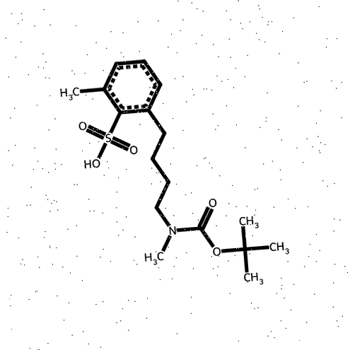 Cc1cccc(CCCCN(C)C(=O)OC(C)(C)C)c1S(=O)(=O)O